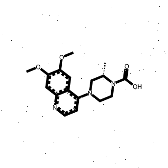 COc1cc2nccc(N3CCN(C(=O)O)[C@@H](C)C3)c2cc1OC